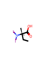 CC[C@@](C)(C(=O)O)N(I)I